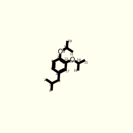 CC(C)Cc1ccc(OC(C)C)c(OC(C)C)c1